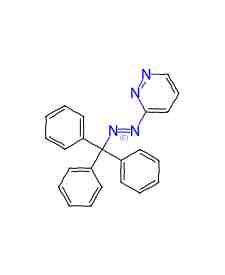 c1ccc(C(/N=N/c2cccnn2)(c2ccccc2)c2ccccc2)cc1